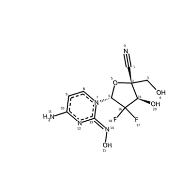 N#C[C@]1(CO)O[C@@H](n2ccc(N)n/c2=N\O)C(F)(F)[C@@H]1O